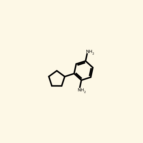 Nc1ccc(N)c(C2CCCC2)c1